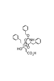 O=C(O)C=C[C@@H](O)[C@H](CCc1ccccc1)NC(=O)[C@H](Cc1ccccc1)NC(=O)OCc1ccccc1